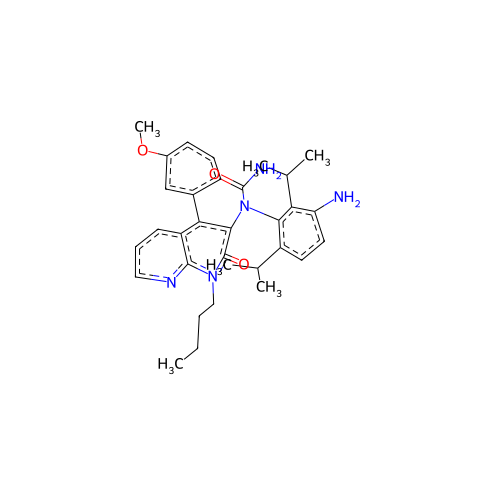 CCCCn1c(=O)c(N(C(N)=O)c2c(C(C)C)ccc(N)c2C(C)C)c(-c2cccc(OC)c2)c2cccnc21